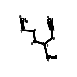 C#CCN(CCCCC)OCC=C